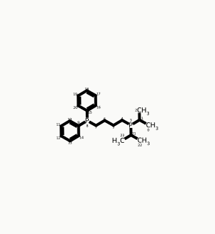 CC(C)P(CCCCP(c1ccccc1)c1ccccc1)C(C)C